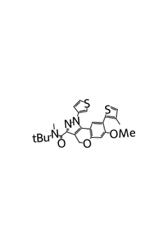 COc1cc2c(cc1-c1sccc1C)-c1c(c(C(=O)N(C)C(C)(C)C)nn1-c1ccsc1)CO2